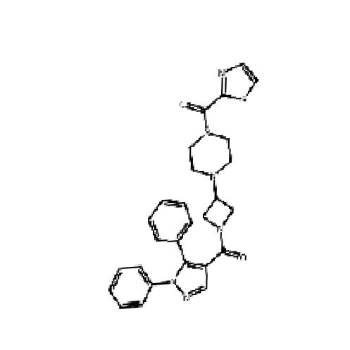 O=C(c1nccs1)N1CCN(C2CN(C(=O)c3cnn(-c4ccccc4)c3-c3ccccc3)C2)CC1